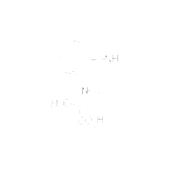 CC(C(=O)O)N1CCNc2ccccc21